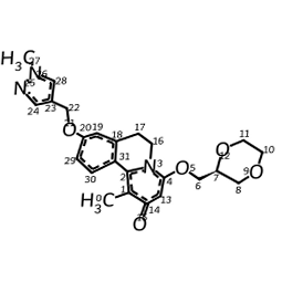 Cc1c2n(c(OC[C@@H]3COCCO3)cc1=O)CCc1cc(OCc3cnn(C)c3)ccc1-2